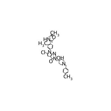 Cc1ccc(CN2CCC(O)(Cn3cnc4c(cc(Cl)n4-c4ccc([C@H]5CO[C@H](C)CN5)c(C)c4)c3=O)CC2)cc1